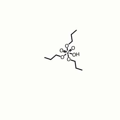 CCC[O][V](=[O])(=[O])([OH])([O]CCC)[O]CCC